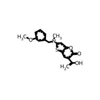 C=C(O)c1cc2sc(N(C)Cc3cccc(OC)c3)cc2oc1=O